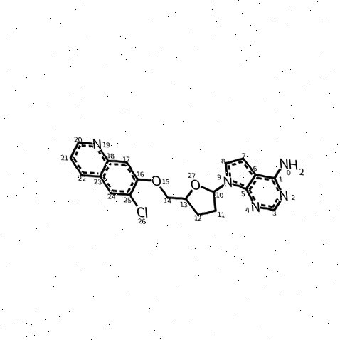 Nc1ncnc2c1ccn2C1CCC(COc2cc3ncccc3cc2Cl)O1